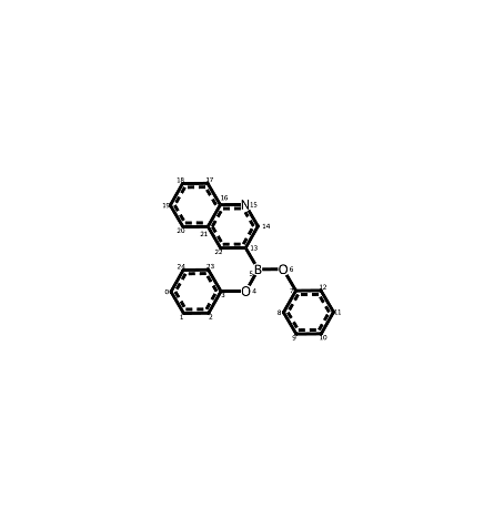 c1ccc(OB(Oc2ccccc2)c2cnc3ccccc3c2)cc1